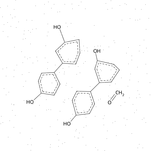 C=O.Oc1ccc(-c2cccc(O)c2)cc1.Oc1ccc(-c2cccc(O)c2)cc1